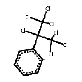 ClC(Cl)(Cl)C(Cl)(c1[c]cccc1)C(Cl)(Cl)Cl